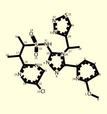 COc1cccc(-c2nnc(NS(=O)(=O)C(C)C(C)c3ncc(Cl)cn3)n2C(C)c2csnn2)n1